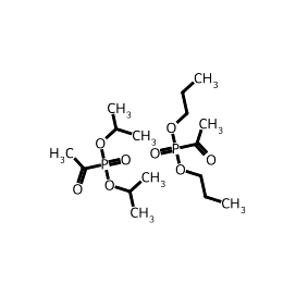 CC(=O)P(=O)(OC(C)C)OC(C)C.CCCOP(=O)(OCCC)C(C)=O